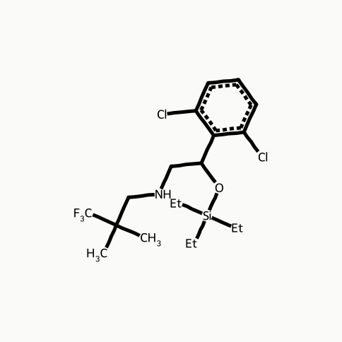 CC[Si](CC)(CC)OC(CNCC(C)(C)C(F)(F)F)c1c(Cl)cccc1Cl